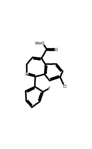 COC(=O)C1=CCN=C(c2ccccc2F)c2cc(Cl)ccc21